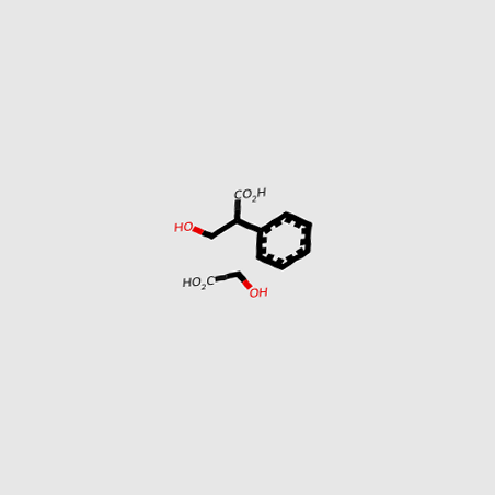 O=C(O)C(CO)c1ccccc1.O=C(O)CO